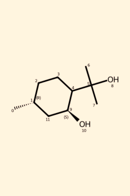 C[C@@H]1CCC(C(C)(C)O)[C@@H](O)C1